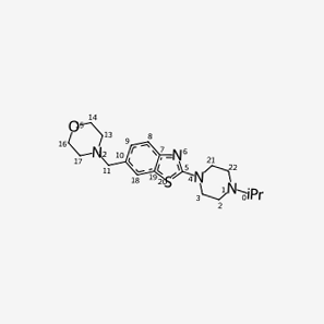 CC(C)N1CCN(c2nc3ccc(CN4CCOCC4)cc3s2)CC1